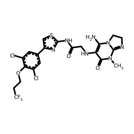 CN1C(=O)C(NCC(=O)Nc2nc(-c3cc(Cl)c(OCCC(F)(F)F)c(Cl)c3)cs2)=C(N)N2CCN=C12